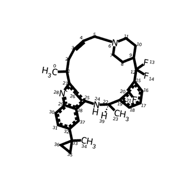 CC1C/C=C\CN2CCC(CC2)C(F)(F)c2cccc(c2F)[C@@H](C)Nc2cc1nc1ccc(C3(C)CC3)cc21